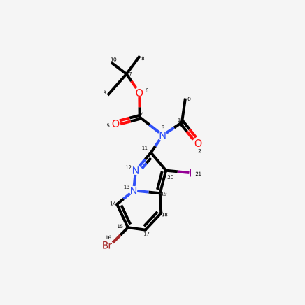 CC(=O)N(C(=O)OC(C)(C)C)c1nn2cc(Br)ccc2c1I